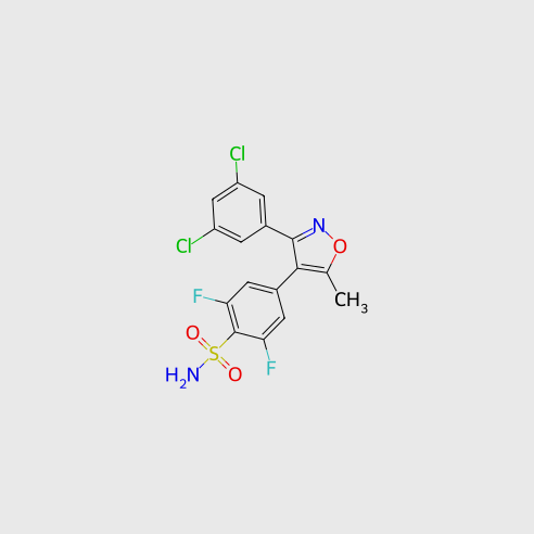 Cc1onc(-c2cc(Cl)cc(Cl)c2)c1-c1cc(F)c(S(N)(=O)=O)c(F)c1